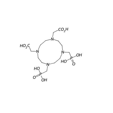 O=C(O)CN1CCN(CC(=O)O)CCN(CP(=O)(O)O)CCN(CP(=O)(O)O)CC1